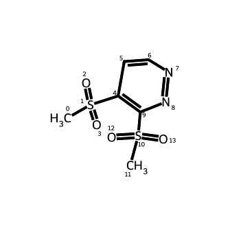 CS(=O)(=O)c1ccnnc1S(C)(=O)=O